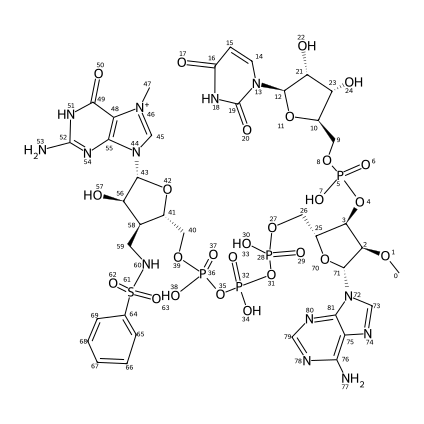 CO[C@@H]1[C@H](OP(=O)(O)OC[C@H]2O[C@@H](n3ccc(=O)[nH]c3=O)[C@H](O)[C@@H]2O)[C@@H](COP(=O)(O)OP(=O)(O)OP(=O)(O)OC[C@H]2O[C@@H](n3c[n+](C)c4c(=O)[nH]c(N)nc43)[C@H](O)[C@@H]2CNS(=O)(=O)c2ccccc2)O[C@H]1n1cnc2c(N)ncnc21